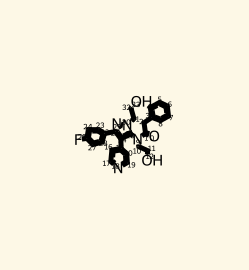 O=C(Cc1ccccc1)N(CCO)c1c(-c2ccncc2)c(-c2ccc(F)cc2)nn1CCO